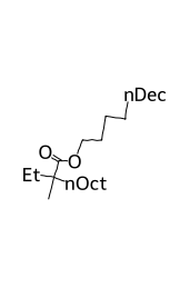 CCCCCCCCCCCCCCOC(=O)C(C)(CC)CCCCCCCC